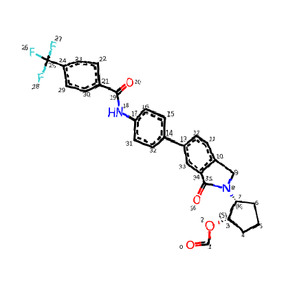 O=CO[C@H]1CCC[C@H]1N1Cc2ccc(-c3ccc(NC(=O)c4ccc(C(F)(F)F)cc4)cc3)cc2C1=O